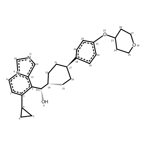 O[C@H](c1c(C2CC2)ccn2cncc12)[C@H]1CC[C@H](c2ccc(OC3CCOCC3)cc2)CC1